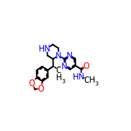 CNC(=O)c1cnc(N2CCNCC2[C@@H](C)c2ccc3c(c2)OCO3)nc1